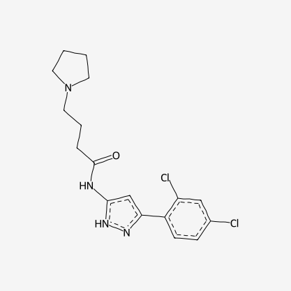 O=C(CCCN1CCCC1)Nc1cc(-c2ccc(Cl)cc2Cl)n[nH]1